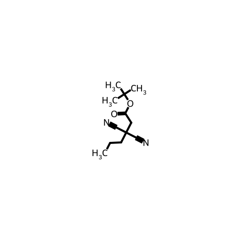 CCCC(C#N)(C#N)CC(=O)OC(C)(C)C